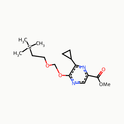 COC(=O)c1cnc(OCOCC[Si](C)(C)C)c(C2CC2)n1